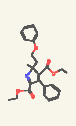 CCOC(=O)C1=NC(C)(CCOc2ccccc2)C(C(=O)OCC)=C1c1ccccc1